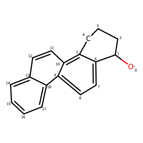 [O]C1CCCc2c1ccc1c2ccc2ccccc21